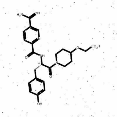 N=C(N)c1ccc(C(=O)N[C@@H](Cc2ccc(O)cc2)C(=O)N2CCC(OCC(=O)O)CC2)nc1